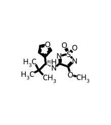 COC1=NS(=O)(=O)N=C1N[C@@H](c1ccoc1)C(C)(C)C